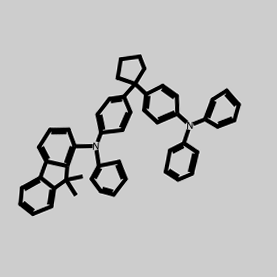 CC1(C)c2ccccc2-c2cccc(N(c3ccccc3)c3ccc(C4(c5ccc(N(c6ccccc6)c6ccccc6)cc5)CCCC4)cc3)c21